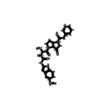 CCCC(NC(=O)Oc1cc2cc(OC)ccc2o1)C(=O)N1CCC2C1C(=O)CN2C(=O)Cc1cccnc1